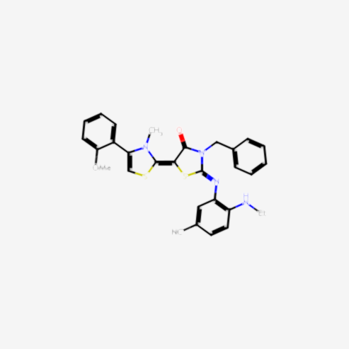 CCNc1ccc(C#N)cc1N=C1SC(=C2SC=C(c3ccccc3OC)N2C)C(=O)N1Cc1ccccc1